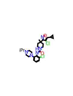 CC(C)N1CCN(c2cccc(Cl)c2NC(=O)N2CCC(C)(c3noc(C4CC4)c3Cl)CC2)CC1